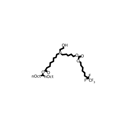 CCCCCCCCC(CCCCCCCC)OC(=O)CCCCCCCN(CCO)CCCCCOC(=O)OCCCCCCC(F)(F)C(F)(F)F